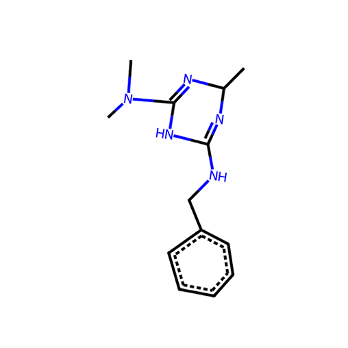 CC1N=C(NCc2ccccc2)NC(N(C)C)=N1